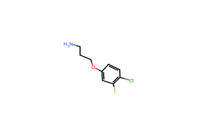 NCCCOc1ccc(Cl)c(F)c1